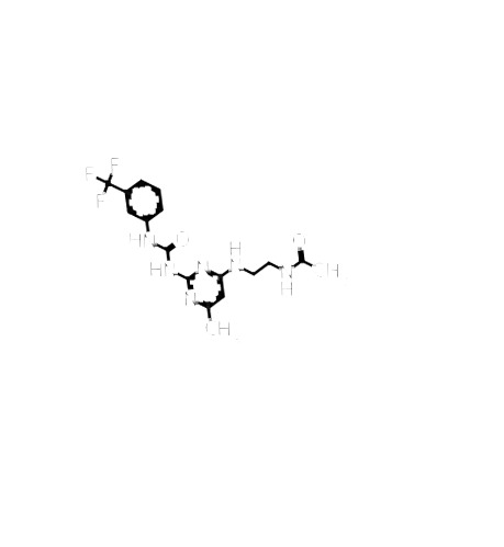 CC(=O)NCCNc1cc(C)nc(NC(=O)Nc2cccc(C(F)(F)F)c2)n1